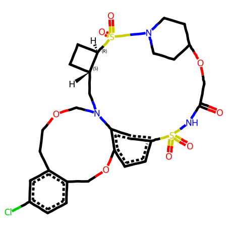 O=C1COC2CCN(CC2)S(=O)(=O)[C@@H]2CC[C@H]2CN2COCCc3cc(Cl)ccc3COc3ccc(cc32)S(=O)(=O)N1